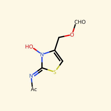 CC(=O)/N=c1\scc(COC=O)n1O